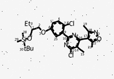 CC[C@H](COc1ccc(Cl)c(-c2nc(Cl)c(C)c(-c3c(C)noc3C)n2)c1)O[Si](C)(C)C(C)(C)C